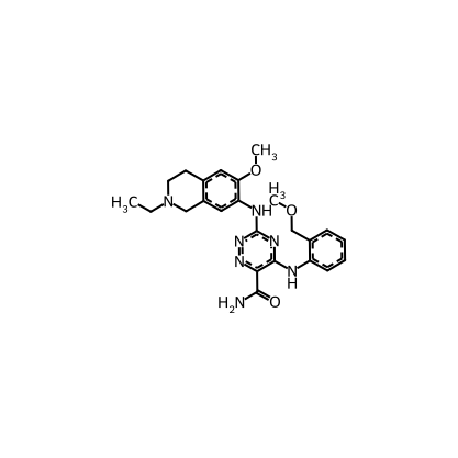 CCN1CCc2cc(OC)c(Nc3nnc(C(N)=O)c(Nc4ccccc4COC)n3)cc2C1